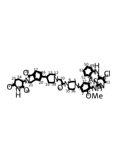 COc1cc(N2CCN(C(=O)CN3CCC(c4ccc5c(c4)CN(C4CCC(=O)NC4=O)C5=O)CC3)CC2)ccc1Nc1ncc(Cl)c(Nc2ccccc2C(C)=O)n1